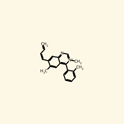 C=C/C=C\c1cc2nc[n+](C)c(-c3ccccc3C)c2cc1C